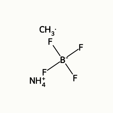 F[B-](F)(F)F.[CH3].[NH4+]